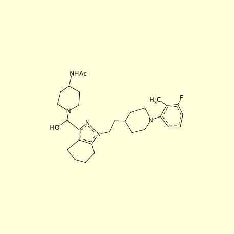 CC(=O)NC1CCN(C(O)c2nn(CCC3CCN(c4cccc(F)c4C)CC3)c3c2CCCC3)CC1